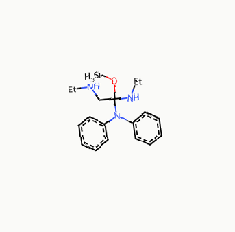 CCNCC(NCC)(O[SiH3])N(c1ccccc1)c1ccccc1